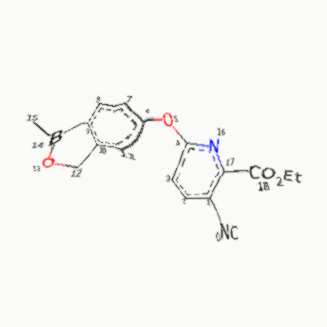 [C-]#[N+]c1ccc(Oc2ccc3c(c2)COB3C)nc1C(=O)OCC